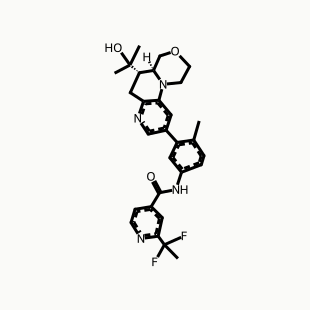 Cc1ccc(NC(=O)c2ccnc(C(C)(F)F)c2)cc1-c1cnc2c(c1)N1CCOC[C@@H]1[C@@H](C(C)(C)O)C2